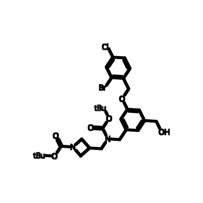 CC(C)(C)OC(=O)N(Cc1cc(CO)cc(OCc2ccc(Cl)cc2Br)c1)CC1CN(C(=O)OC(C)(C)C)C1